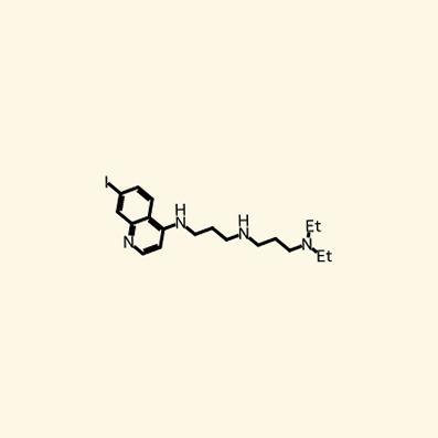 CCN(CC)CCCNCCCNc1ccnc2cc(I)ccc12